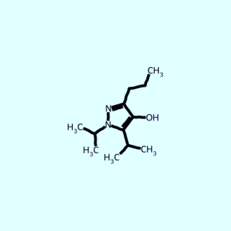 CCCc1nn(C(C)C)c(C(C)C)c1O